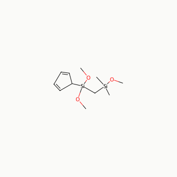 CO[Si](C)(C)C[Si](OC)(OC)C1C=CC=C1